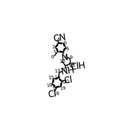 Cc1cc(C#N)ccc1N1CCC(NCc2ccc(Cl)cc2Cl)C1.Cl